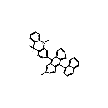 Cc1ccc2c(-c3cccc4ccccc34)c3ccccc3c(-c3ccc4c(c3)N(C)c3ccccc3C4(C)C)c2c1